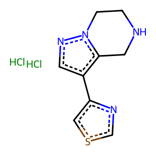 Cl.Cl.c1nc(-c2cnn3c2CNCC3)cs1